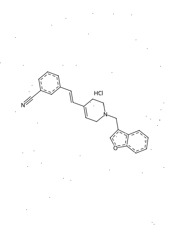 Cl.N#Cc1cccc(/C=C/C2=CCN(Cc3coc4ccccc34)CC2)c1